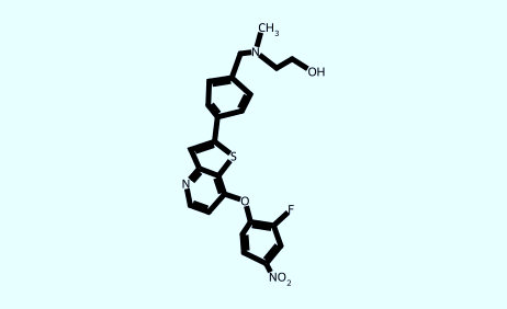 CN(CCO)Cc1ccc(-c2cc3nccc(Oc4ccc([N+](=O)[O-])cc4F)c3s2)cc1